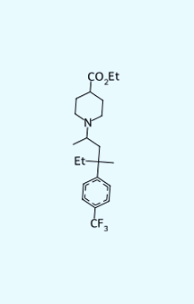 CCOC(=O)C1CCN(C(C)CC(C)(CC)c2ccc(C(F)(F)F)cc2)CC1